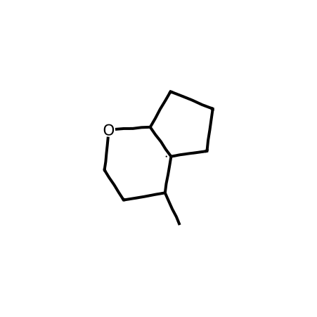 CC1CCOC2CCC[C]12